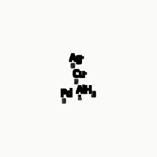 [Ag].[AlH3].[Cu].[Pd]